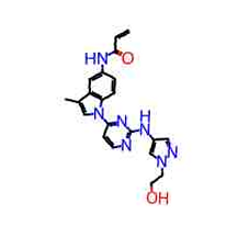 C=CC(=O)Nc1ccc2c(c1)c(C)cn2-c1ccnc(Nc2cnn(CCO)c2)n1